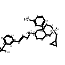 C[N@+]1(CC2CC2)CC[C@@]2(c3cccc(O)c3)C[C@H](NCC=Cc3cccc(C(F)(F)F)c3)CCC2C1